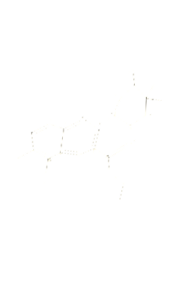 CCOC(=O)c1cc2c(F)c(F)ccc2nc1N1CCC(F)(F)C(C)C1